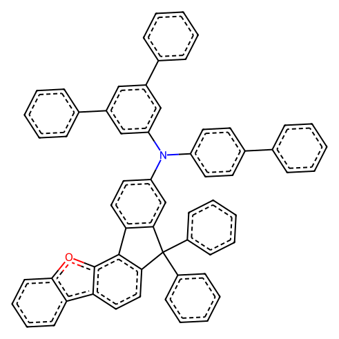 c1ccc(-c2ccc(N(c3cc(-c4ccccc4)cc(-c4ccccc4)c3)c3ccc4c(c3)C(c3ccccc3)(c3ccccc3)c3ccc5c(oc6ccccc65)c3-4)cc2)cc1